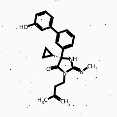 C=C(C)CCN1C(=O)[C@](c2cccc(-c3cccc(O)c3)c2)(C2CC2)N/C1=N\C